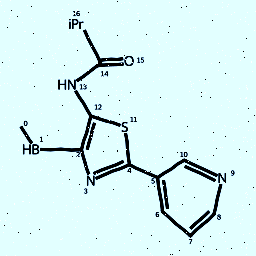 CBc1nc(-c2cccnc2)sc1NC(=O)C(C)C